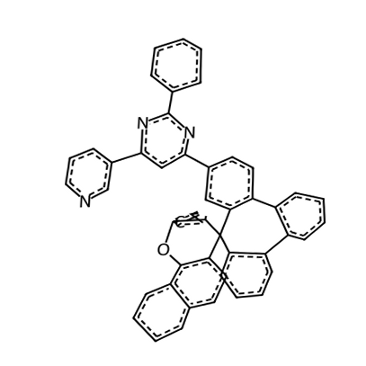 c1ccc(-c2nc(-c3cccnc3)cc(-c3ccc4c(c3)C3(c5ccccc5Oc5c3ccc3ccccc53)c3ccccc3-c3ccccc3-4)n2)cc1